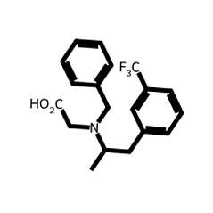 CC(Cc1cccc(C(F)(F)F)c1)N(CC(=O)O)Cc1ccccc1